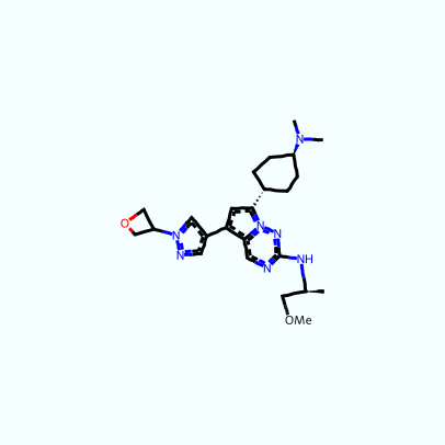 COC[C@H](C)Nc1ncc2c(-c3cnn(C4COC4)c3)cc([C@H]3CC[C@H](N(C)C)CC3)n2n1